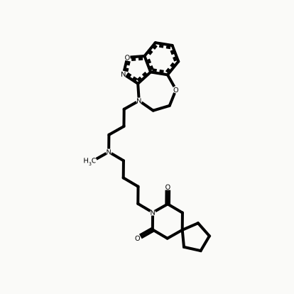 CN(CCCCN1C(=O)CC2(CCCC2)CC1=O)CCCN1CCOc2cccc3onc1c23